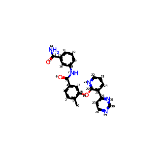 Cc1ccc(C(=O)Nc2cccc(C(N)=O)c2)cc1Oc1ncccc1-c1ccncn1